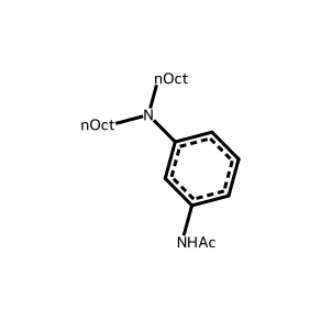 CCCCCCCCN(CCCCCCCC)c1cccc(NC(C)=O)c1